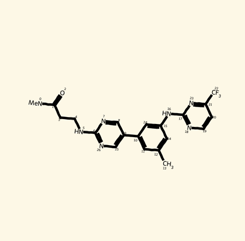 CNC(=O)CCNc1ncc(-c2cc(C)cc(Nc3nccc(C(F)(F)F)n3)c2)cn1